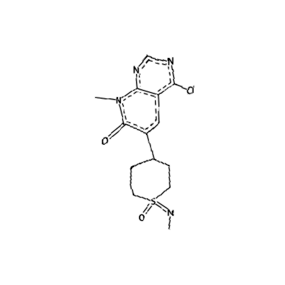 CN=S1(=O)CCC(c2cc3c(Cl)ncnc3n(C)c2=O)CC1